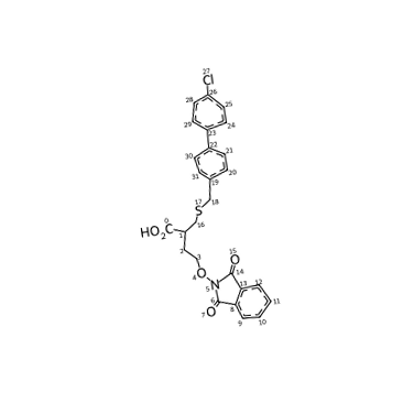 O=C(O)C(CCON1C(=O)c2ccccc2C1=O)CSCc1ccc(-c2ccc(Cl)cc2)cc1